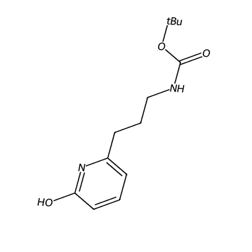 CC(C)(C)OC(=O)NCCCc1cccc(O)n1